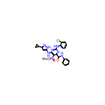 CO[N+](=O)c1c(Nc2cc(C3CC3)n[nH]2)nc(Nc2ccccc2Cl)nc1C(=O)Nc1ccccc1